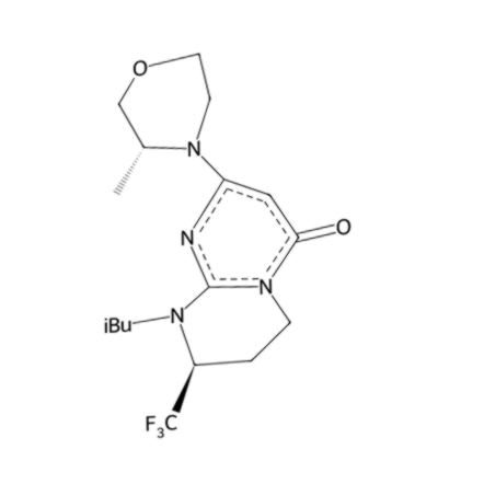 CCC(C)N1c2nc(N3CCOC[C@H]3C)cc(=O)n2CC[C@H]1C(F)(F)F